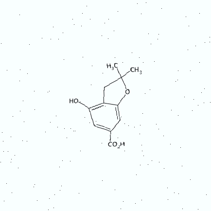 CC1(C)Cc2c(O)cc(C(=O)O)cc2O1